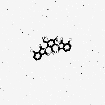 CCc1cc(C)c(N2C(=O)c3cccc(Cl)c3C2=O)c(CC)c1N1C(=O)c2cccc(Cl)c2C1=O